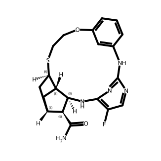 NC(=O)[C@H]1[C@H]2C[C@H]3[C@H]1Nc1nc(ncc1F)Nc1cccc(c1)OCCS[C@@H]3C2